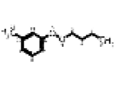 [CH2]CCCOOc1cccc(C)c1